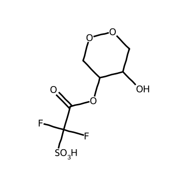 O=C(OC1COOCC1O)C(F)(F)S(=O)(=O)O